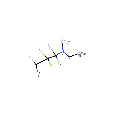 CCC(F)C(F)(F)C(F)(F)N(COC)C(=O)O